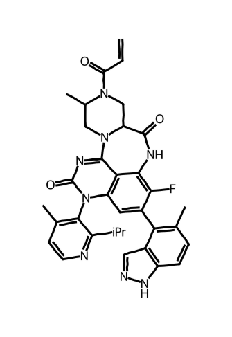 C=CC(=O)N1CC2C(=O)Nc3c(F)c(-c4c(C)ccc5[nH]ncc45)cc4c3c(nc(=O)n4-c3c(C)ccnc3C(C)C)N2CC1C